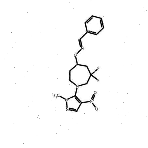 Cn1ncc([N+](=O)[O-])c1N1CCC(O/N=C/c2ccccc2)CC(F)(F)C1